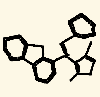 CC1=CCC(C)=[C]1[Zr](=[CH]c1ccccc1)[c]1cccc2c1Cc1ccccc1-2